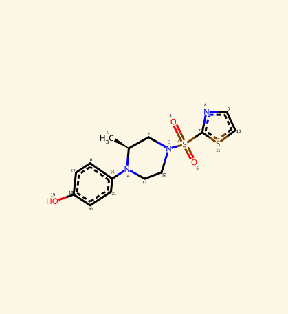 C[C@H]1CN(S(=O)(=O)c2nccs2)CCN1c1ccc(O)cc1